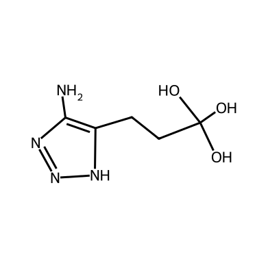 Nc1nn[nH]c1CCC(O)(O)O